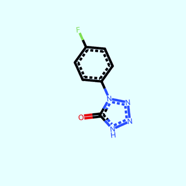 O=c1[nH]nnn1-c1ccc(F)cc1